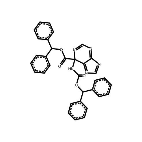 O=C(NC1(C(=O)OC(c2ccccc2)c2ccccc2)N=CN=C2N=CN=C21)OC(c1ccccc1)c1ccccc1